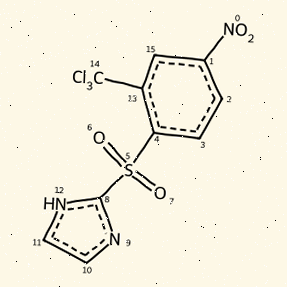 O=[N+]([O-])c1ccc(S(=O)(=O)c2ncc[nH]2)c(C(Cl)(Cl)Cl)c1